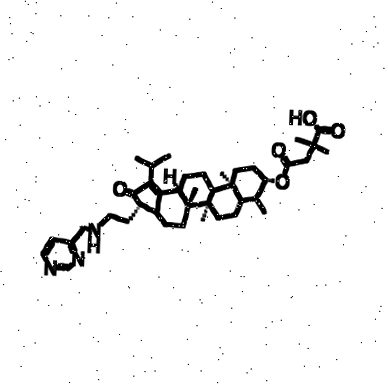 CC(C)C1=C2C(CC[C@]3(C)[C@@H]2CCC2[C@@]4(C)CC[C@H](OC(=O)CC(C)(C)C(=O)O)C(C)C4CC[C@]23C)[C@H](CCNCc2ccncn2)C1=O